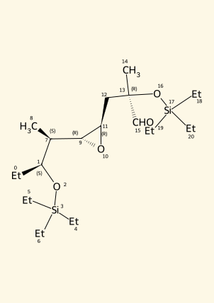 CC[C@H](O[Si](CC)(CC)CC)[C@@H](C)[C@H]1O[C@@H]1C[C@](C)(C=O)O[Si](CC)(CC)CC